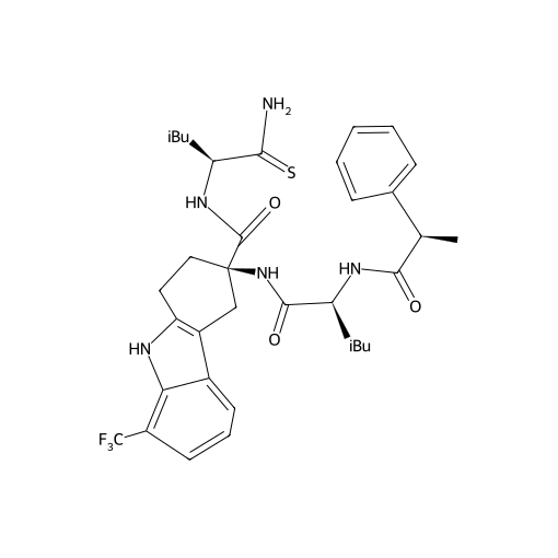 CCC(C)[C@H](NC(=O)[C@H](C)c1ccccc1)C(=O)N[C@]1(C(=O)N[C@H](C(N)=S)C(C)CC)CCc2[nH]c3c(C(F)(F)F)cccc3c2C1